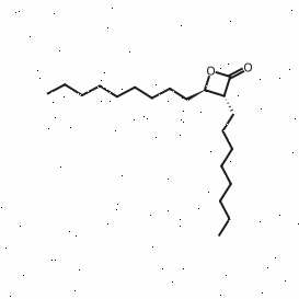 CCCCCCCCC[C@H]1OC(=O)[C@@H]1CCCCCCCC